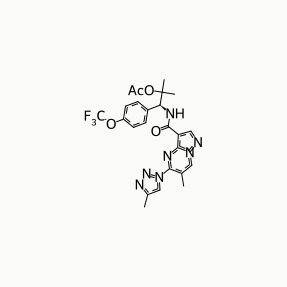 CC(=O)OC(C)(C)[C@@H](NC(=O)c1cnn2cc(C)c(-n3cc(C)nn3)nc12)c1ccc(OC(F)(F)F)cc1